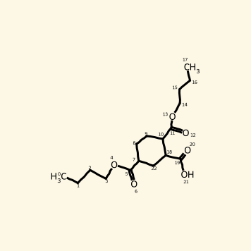 CCCCOC(=O)C1CCC(C(=O)OCCCC)C(C(=O)O)C1